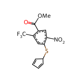 COC(=O)c1cc([N+](=O)[O-])c(SC2C=CC=C2)cc1C(F)(F)F